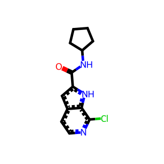 O=C(NC1CCCC1)c1cc2ccnc(Cl)c2[nH]1